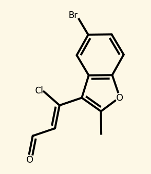 Cc1oc2ccc(Br)cc2c1C(Cl)=CC=O